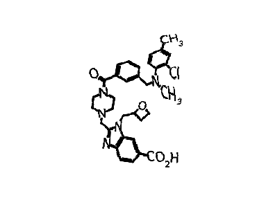 Cc1ccc(N(C)Cc2cccc(C(=O)N3CCN(Cc4nc5ccc(C(=O)O)cc5n4CC4CCO4)CC3)c2)c(Cl)c1